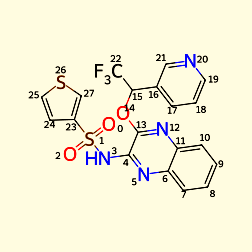 O=S(=O)(Nc1nc2ccccc2nc1OC(c1cccnc1)C(F)(F)F)c1ccsc1